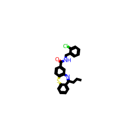 CCCC1=Nc2cc(C(=O)NCc3ccccc3Cl)ccc2Sc2ccccc21